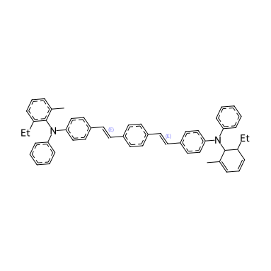 CCc1cccc(C)c1N(c1ccccc1)c1ccc(/C=C/c2ccc(/C=C/c3ccc(N(c4ccccc4)C4C(C)=CC=CC4CC)cc3)cc2)cc1